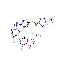 CC(C)N1CCOc2c(F)cc(-c3cc(Nc4ccc(OCC5CCN(C(=O)O)CC5)cn4)ncc3F)cc21